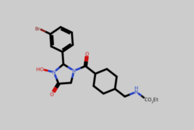 CCOC(=O)NCC1CCC(C(=O)N2CC(=O)N(O)C2c2cccc(Br)c2)CC1